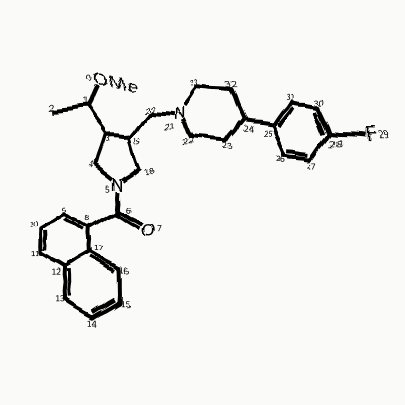 COC(C)C1CN(C(=O)c2cccc3ccccc23)CC1CN1CCC(c2ccc(F)cc2)CC1